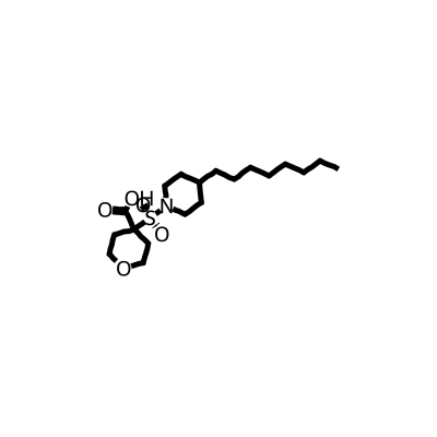 CCCCCCCCC1CCN(S(=O)(=O)C2(C(=O)O)CCOCC2)CC1